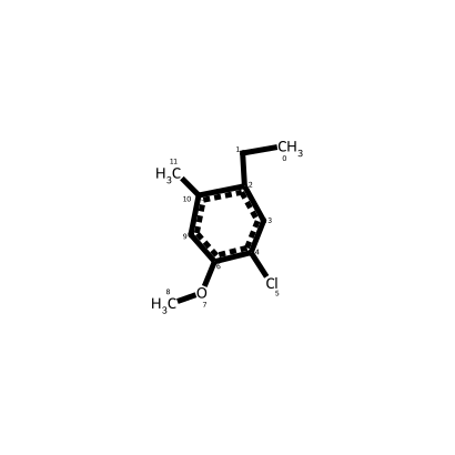 CCc1cc(Cl)c(OC)cc1C